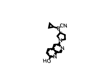 N#CB(C1CC1)[C@H]1CCN(c2cc3ccc(O)nc3cn2)C1